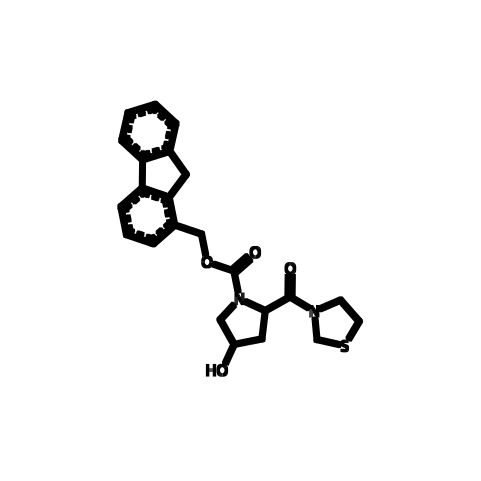 O=C(C1CC(O)CN1C(=O)OCc1cccc2c1Cc1ccccc1-2)N1CCSC1